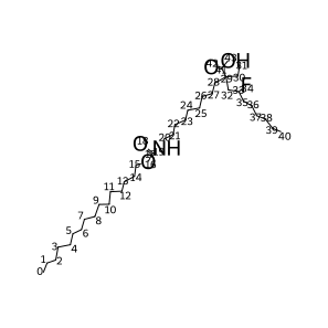 CCCCCCCCCCCCCCCCOC(=O)NCCCCCCCCCC(CC)(CC(F)CCCCCC)C(=O)O